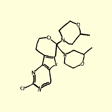 CC1CN(C2(N3CCOC(C)C3)OCCc3c2sc2cnc(Cl)nc32)CCO1